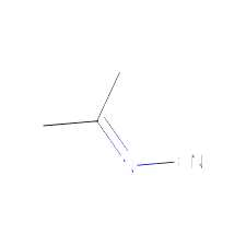 CC(C)=NC#N